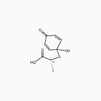 C[C@@H](OC1(O)C=CC(=O)C=C1)C(=O)O